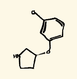 Clc1cccc(O[C@@H]2CCNC2)c1